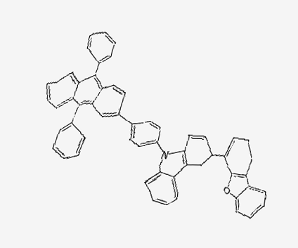 C1=CC(C2=CCCc3c2oc2ccccc32)Cc2c1n(-c1ccc(-c3ccc4c(-c5ccccc5)c5ccccc5c(-c5ccccc5)c4c3)cc1)c1ccccc21